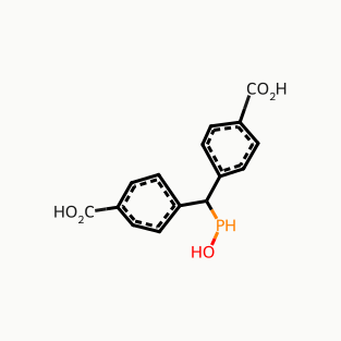 O=C(O)c1ccc(C(PO)c2ccc(C(=O)O)cc2)cc1